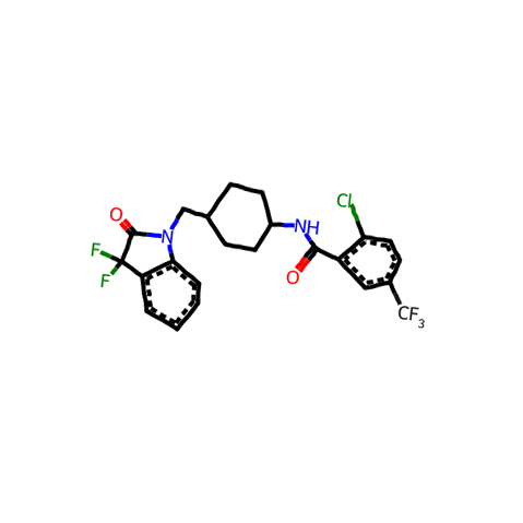 O=C(NC1CCC(CN2C(=O)C(F)(F)c3ccccc32)CC1)c1cc(C(F)(F)F)ccc1Cl